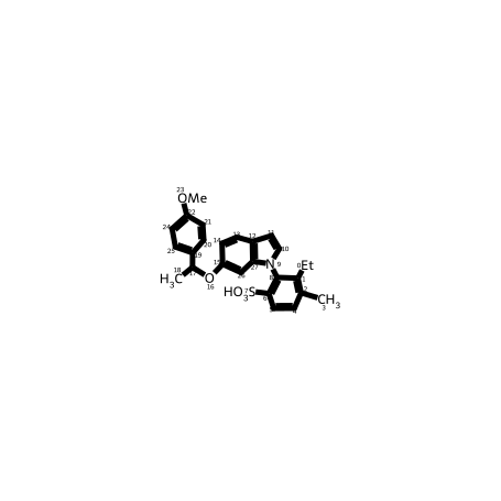 CCc1c(C)ccc(S(=O)(=O)O)c1-n1ccc2ccc(OC(C)c3ccc(OC)cc3)cc21